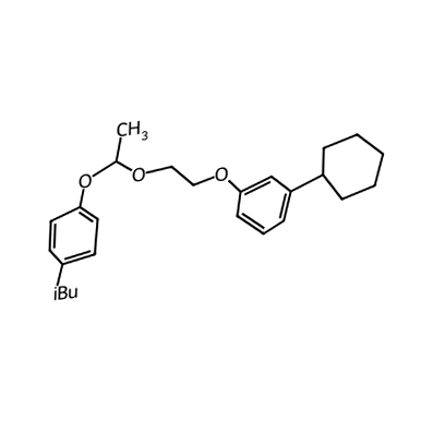 CCC(C)c1ccc(OC(C)OCCOc2cccc(C3CCCCC3)c2)cc1